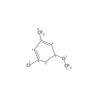 FC(F)(F)OC1[CH]C(Cl)=CC(C(F)(F)F)=C1